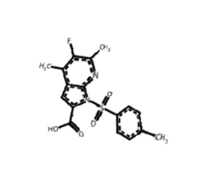 Cc1ccc(S(=O)(=O)n2c(C(=O)O)cc3c(C)c(F)c(C)nc32)cc1